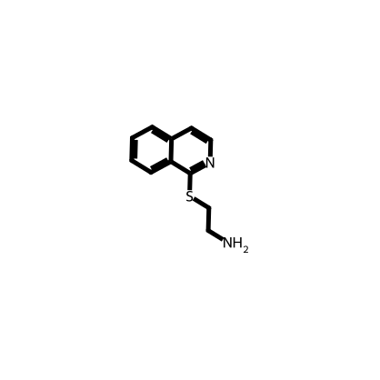 NCCSc1nccc2ccccc12